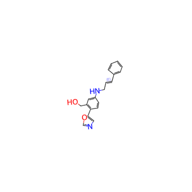 OCc1cc(NC/C=C/c2ccccc2)ccc1-c1cnco1